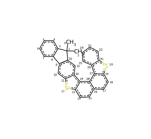 CC1(C)c2ccccc2-c2cc3sc4ccc5ccc6sc7ccccc7c6c5c4c3cc21